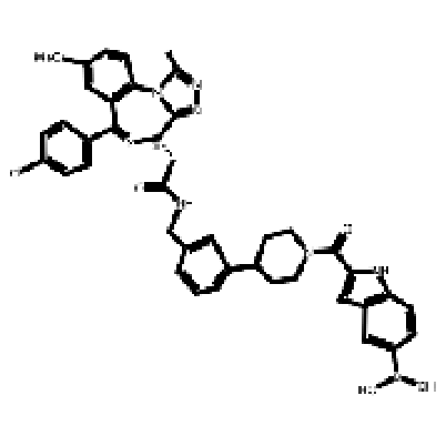 COc1ccc2c(c1)C(c1ccc(Cl)cc1)=N[C@@H](CC(=O)NCc1cccc(C3CCN(C(=O)c4cc5cc(B(O)O)ccc5[nH]4)CC3)c1)c1nnc(C)n1-2